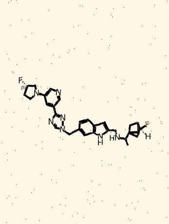 CC(NCc1cc2ccc(Cn3cnc(-c4cncc(N5CC[C@H](F)C5)c4)n3)cc2[nH]1)C12CC(C1)[C@@H](F)C2